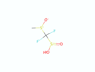 C[S+]([O-])C(F)(F)S(=O)O